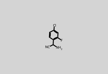 N#CC(N)c1ccc(Cl)cc1F